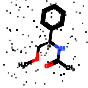 COC[C@@H](NC(C)=O)c1ccccc1